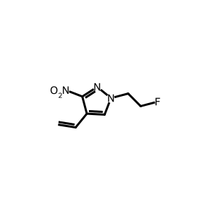 C=Cc1cn(CCF)nc1[N+](=O)[O-]